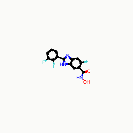 O=C(NO)c1cc2[nH]c(-c3cccc(F)c3F)nc2cc1F